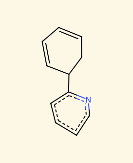 C1=CCC(c2ccccn2)C=C1